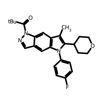 Cc1c(C2CCOCC2)n(-c2ccc(F)cc2)c2cc3cnn(C(=O)C(C)(C)C)c3cc12